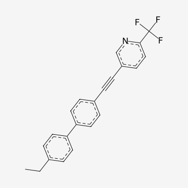 CCc1ccc(-c2ccc(C#Cc3ccc(C(F)(F)F)nc3)cc2)cc1